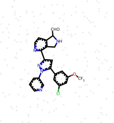 O=CC1NCc2c1ccnc2-c1cc(-c2cc(Cl)cc(OC(F)(F)F)c2)n(-c2cccnc2)n1